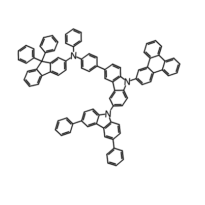 c1ccc(-c2ccc3c(c2)c2cc(-c4ccccc4)ccc2n3-c2ccc3c(c2)c2cc(-c4ccc(N(c5ccccc5)c5ccc6c(c5)C(c5ccccc5)(c5ccccc5)c5ccccc5-6)cc4)ccc2n3-c2ccc3c4ccccc4c4ccccc4c3c2)cc1